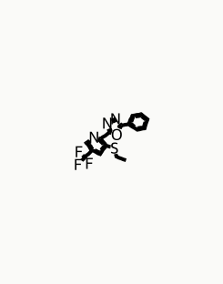 CCSc1cc(C(F)(F)F)cnc1-c1nnc(-c2ccccc2)o1